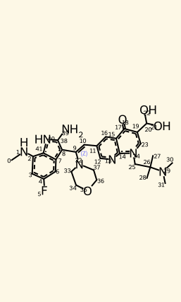 CNc1cc(F)cc2c(/C(=C/c3cnc4c(c3)c(=O)c(C(O)O)cn4CC(C)(C)N(C)C)N3CCOCC3)c(N)[nH]c12